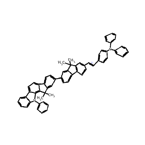 CC1(C)c2cc(/C=C/c3ccc(N(c4ccccc4)c4ccccc4)cc3)ccc2-c2ccc(-c3ccc4c(c3)C(C)(C)c3c-4ccc4c5ccccc5n(-c5ccccc5)c34)cc21